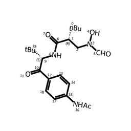 CCCC[C@H](CN(O)C=O)C(=O)N[C@H](C(=O)c1ccc(NC(C)=O)cc1)C(C)(C)C